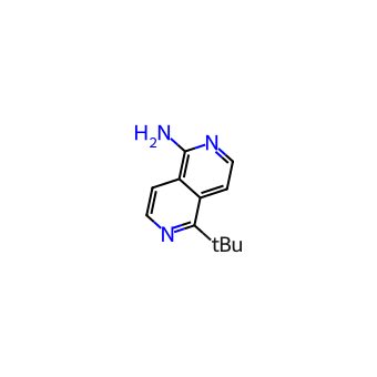 CC(C)(C)c1nccc2c(N)nccc12